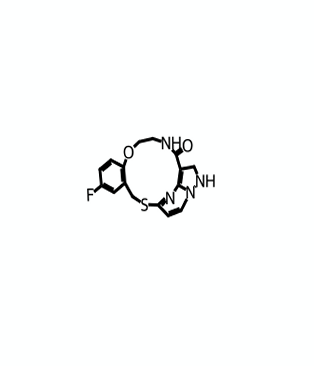 O=C1NCCOc2ccc(F)cc2CSC2=NC3=C1CNN3C=C2